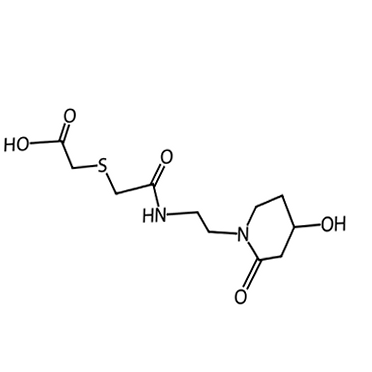 O=C(O)CSCC(=O)NCCN1CCC(O)CC1=O